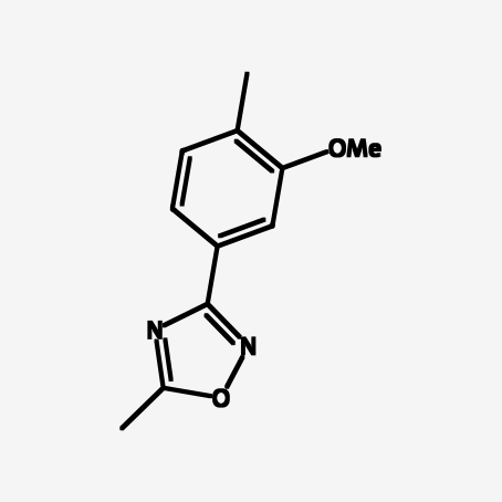 COc1cc(-c2noc(C)n2)ccc1C